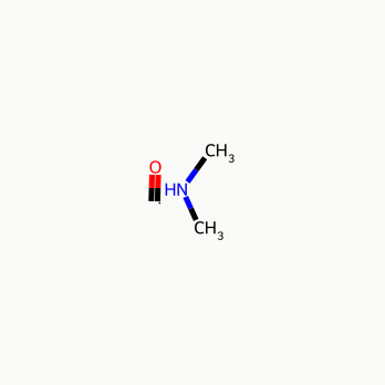 CNC.[C]=O